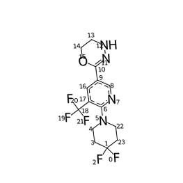 FC1(F)CCN(c2ncc(C3=NNCCO3)cc2C(F)(F)F)CC1